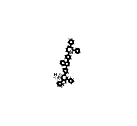 CCC1C(c2ccccc2)=NC(c2ccc(-c3ccc(-c4ccc(/C5=N/C(c6ccccc6)=C\C(c6ccccc6)CCC5)cc4)c4ccccc34)cc2)C(C)C(C)C1c1ccccc1